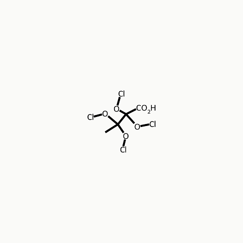 CC(OCl)(OCl)C(OCl)(OCl)C(=O)O